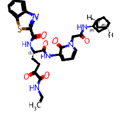 CCNC(=O)C(=O)CC[C@H](NC(=O)c1nc2ccccc2s1)C(=O)Nc1cccn(CC(=O)N[C@@H]2C[C@@H]3CC[C@H]2C3)c1=O